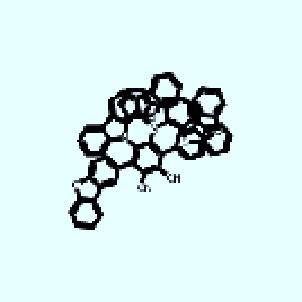 N#Cc1c(C#N)c(-c2ccc3oc4ccccc4c3c2)c(-n2c3ccccc3c3ccc4c5ccccc5sc4c32)c(-n2c3ccccc3c3ccc4c5ccccc5sc4c32)c1-c1ccc2oc3ccccc3c2c1